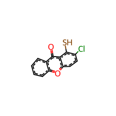 O=c1c2ccccc2oc2ccc(Cl)c(S)c12